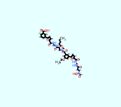 CCCCC[C@H](CN(C=O)OC(=O)c1cc(OCC)cc(-c2ccc(C(=O)NCNC(=O)CCN(O)C=O)o2)c1)C(=O)NCNC(=O)c1ccc(-c2ccc(F)c(C(=O)O)c2F)o1